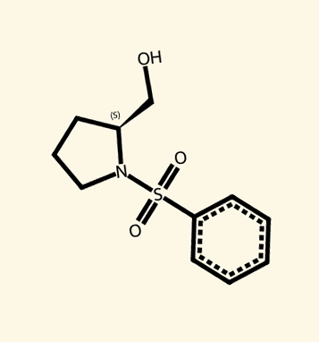 O=S(=O)(c1ccccc1)N1CCC[C@H]1CO